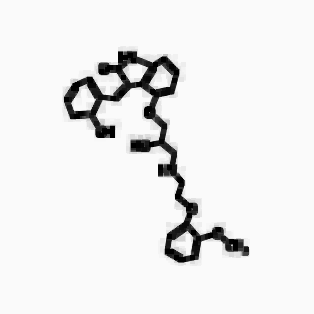 COc1ccccc1OCCNCC(O)COc1cccc2c1/C(=C/c1ccccc1O)C(=O)N2